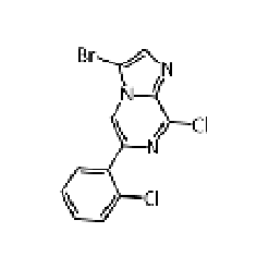 Clc1ccccc1-c1cn2c(Br)cnc2c(Cl)n1